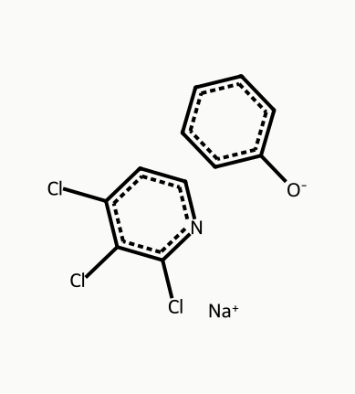 Clc1ccnc(Cl)c1Cl.[Na+].[O-]c1ccccc1